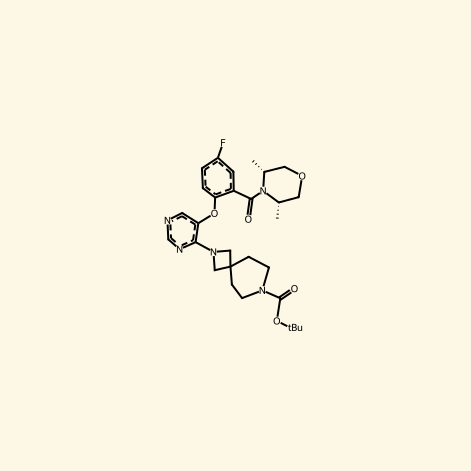 C[C@@H]1COC[C@H](C)N1C(=O)c1cc(F)ccc1Oc1cncnc1N1CC2(CCN(C(=O)OC(C)(C)C)CC2)C1